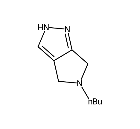 CCCCN1Cc2c[nH]nc2C1